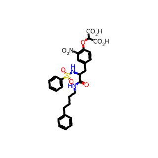 O=C(NCCCCc1ccccc1)C(Cc1ccc(OC(C(=O)O)C(=O)O)c([N+](=O)[O-])c1)NS(=O)(=O)c1ccccc1